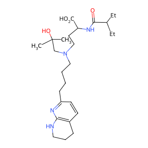 CCC(CC)C(=O)NC(CCN(CCCCc1ccc2c(n1)NCCC2)CC(C)(C)O)C(=O)O